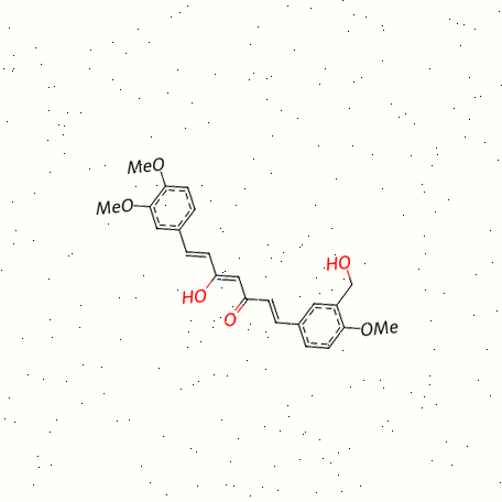 COc1ccc(/C=C/C(=O)/C=C(O)/C=C/c2ccc(OC)c(OC)c2)cc1CO